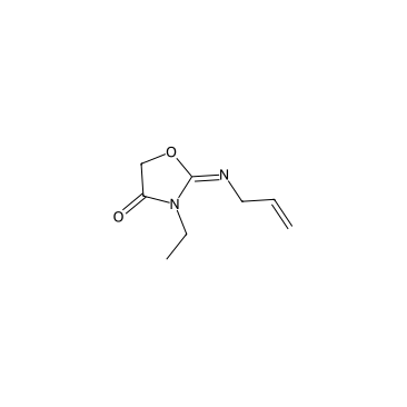 C=CCN=C1OCC(=O)N1CC